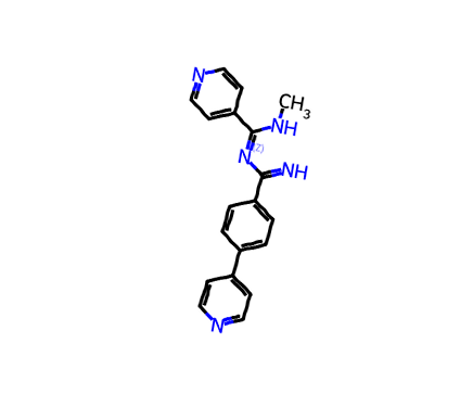 CN/C(=N\C(=N)c1ccc(-c2ccncc2)cc1)c1ccncc1